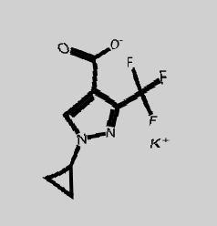 O=C([O-])c1cn(C2CC2)nc1C(F)(F)F.[K+]